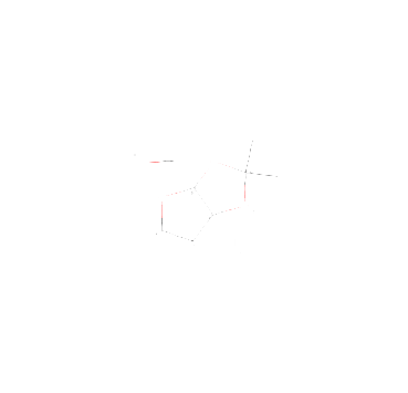 CC1(C)O[C@H]2CCO[C@@]2(CO)O1